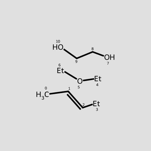 C/C=C/CC.CCOCC.OCCO